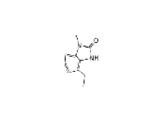 CCc1cccc2c1[nH]c(=O)n2C